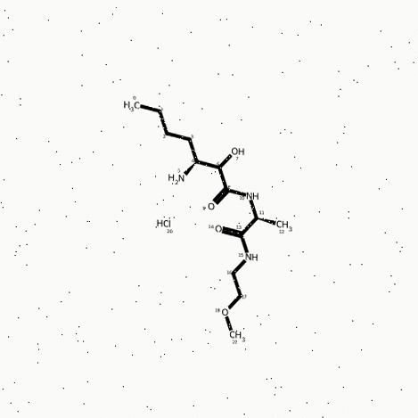 CCCC[C@H](N)C(O)C(=O)N[C@@H](C)C(=O)NCCOC.Cl